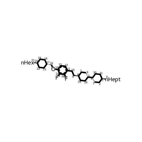 CCCCCCC[C@H]1CC[C@H]([C@H]2CC[C@H](CCc3ccc(OC[C@H]4CC[C@H](CCCCCC)CC4)c(F)c3F)CC2)CC1